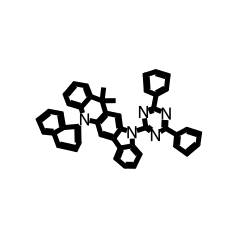 CC1(C)c2ccccc2N(c2cccc3ccccc23)c2cc3c4ccccc4n(-c4nc(-c5ccccc5)nc(-c5ccccc5)n4)c3cc21